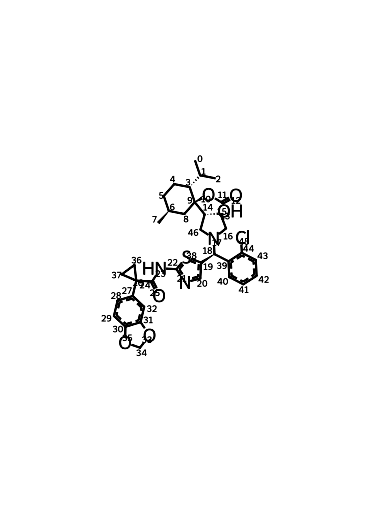 CC(C)[C@H]1CC[C@H](C)C[C@@]1(OC(=O)O)[C@@H]1CCN([C@H](c2cnc(NC(=O)C3(c4ccc5c(c4)OCO5)CC3)s2)c2ccccc2Cl)C1